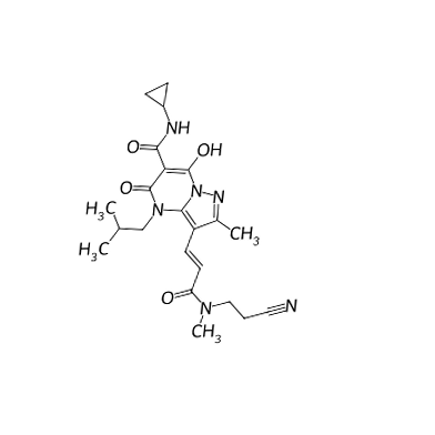 Cc1nn2c(O)c(C(=O)NC3CC3)c(=O)n(CC(C)C)c2c1C=CC(=O)N(C)CCC#N